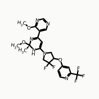 COc1ncncc1C1=N[C@@](C)(OC)NC(N2CC(Oc3ccnc(C(F)(F)F)c3)C(F)(F)C2)=C1